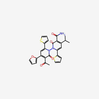 CC(=O)c1c(-c2ccco2)cc(-c2cccs2)n(-n2c(-c3cccs3)cc(C(C)C)c(C(N)=O)c2=O)c1=O